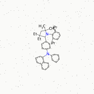 CCC1(CC)CC(C)(C)N(c2c(C(C)C)cccc2C(C)C)C1c1ccc(N(c2ccccc2)c2cccc3ccccc23)cc1